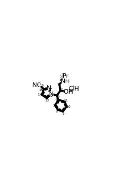 CC(C)NCC(O)C(c1ccccc1)n1ccc(C#N)n1.Cl